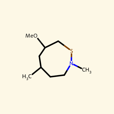 COC1CSN(C)CCC(C)C1